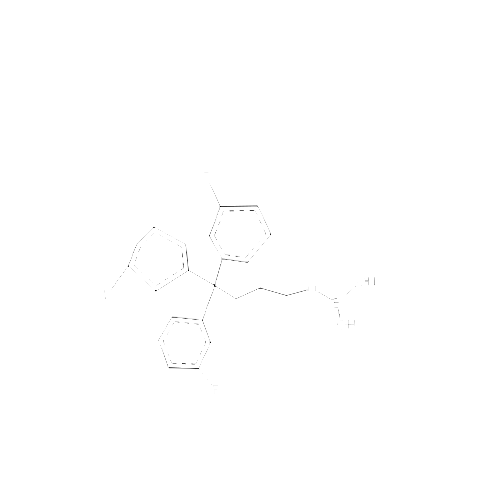 OB(O)OCCCC(c1cccc(F)c1)(c1cccc(F)c1)c1cccc(F)c1